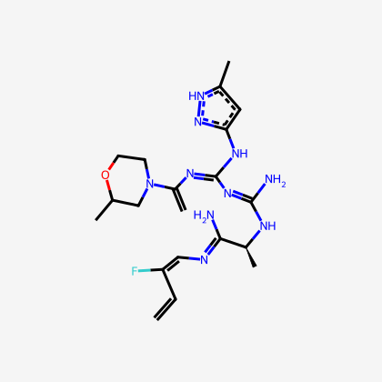 C=C/C(F)=C\N=C(/N)[C@H](C)N/C(N)=N/C(=N\C(=C)N1CCOC(C)C1)Nc1cc(C)[nH]n1